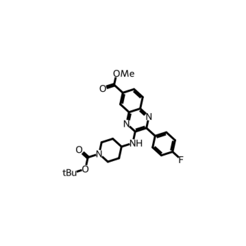 COC(=O)c1ccc2nc(-c3ccc(F)cc3)c(NC3CCN(C(=O)OC(C)(C)C)CC3)nc2c1